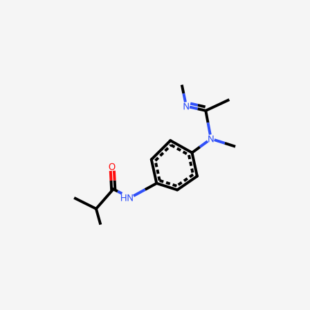 CN=C(C)N(C)c1ccc(NC(=O)C(C)C)cc1